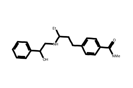 CCC(CCc1ccc(C(=O)NC)cc1)NCC(O)c1ccccc1